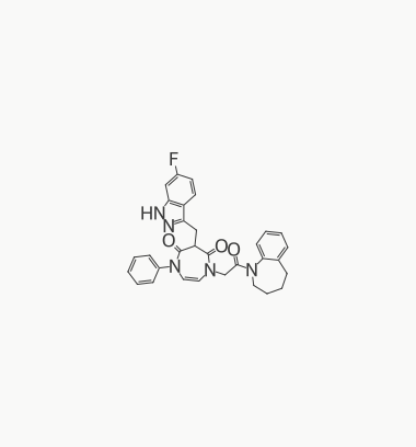 O=C1C(Cc2n[nH]c3cc(F)ccc23)C(=O)N(c2ccccc2)C=CN1CC(=O)N1CCCCc2ccccc21